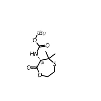 CC(C)(C)OC(=O)N[C@H]1C(=O)OCCSC1(C)C